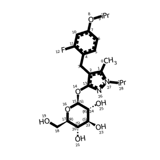 Cc1c(Cc2ccc(OC(C)C)cc2F)c(O[C@@H]2O[C@H](CO)[C@@H](O)[C@H](O)[C@H]2O)nn1C(C)C